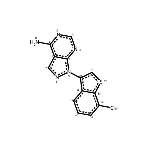 Nc1ncnc2c1cnn2-c1csc2c(Cl)cccc12